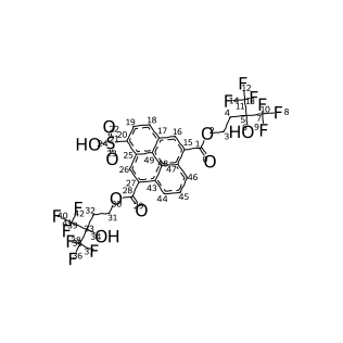 O=C(OCCC(O)(C(F)(F)F)C(F)(F)F)c1cc2ccc(S(=O)(=O)O)c3cc(C(=O)OCCC(O)(C(F)(F)F)C(F)(F)F)c4cccc1c4c23